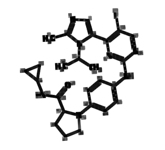 Cc1ncc(-c2nc(Nc3ccc(N4CCCC4C(=O)NC4CC4)cc3)ncc2F)n1C(C)C